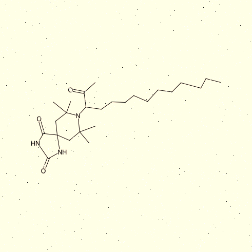 CCCCCCCCCCCC(C(C)=O)N1C(C)(C)CC2(CC1(C)C)NC(=O)NC2=O